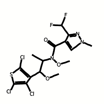 COC(c1c(Cl)sc(Cl)c1Cl)C(C)N(OC)C(=O)c1cn(C)nc1C(F)F